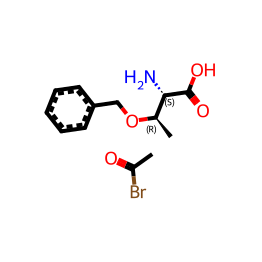 CC(=O)Br.C[C@@H](OCc1ccccc1)[C@H](N)C(=O)O